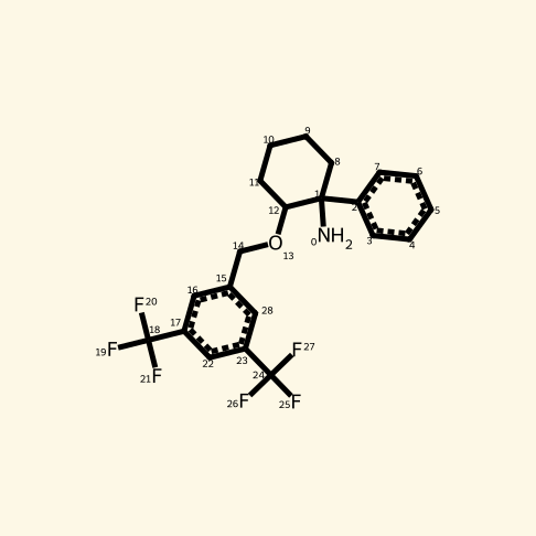 NC1(c2ccccc2)CCCCC1OCc1cc(C(F)(F)F)cc(C(F)(F)F)c1